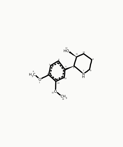 COc1ccc([C@@H]2NCCC[C@@H]2O)cc1OC